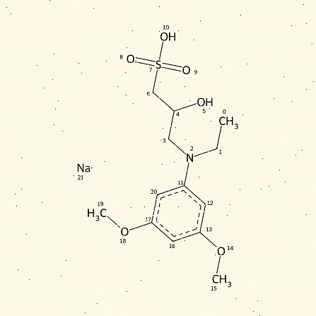 CCN(CC(O)CS(=O)(=O)O)c1cc(OC)cc(OC)c1.[Na]